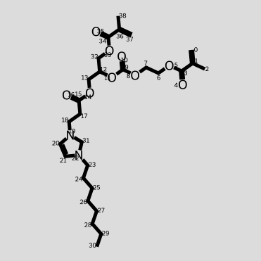 C=C(C)C(=O)OCCOC(=O)OC(COC(=O)CCN1C=CN(CCCCCCCC)C1)COC(=O)C(=C)C